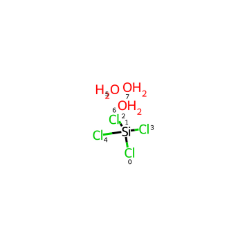 Cl[Si](Cl)(Cl)Cl.O.O.O